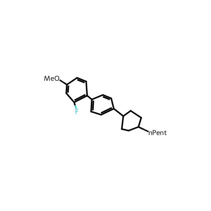 CCCCCC1CCC(c2ccc(-c3ccc(OC)cc3F)cc2)CC1